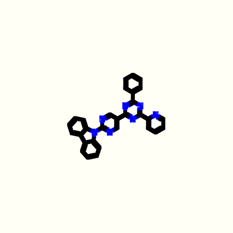 c1ccc(-c2nc(-c3cnc(-n4c5ccccc5c5ccccc54)nc3)nc(-c3ccccn3)n2)cc1